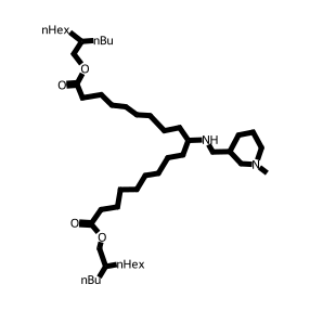 CCCCCCC(CCCC)COC(=O)CCCCCCCCC(CCCCCCCCC(=O)OCC(CCCC)CCCCCC)NCC1CCCN(C)C1